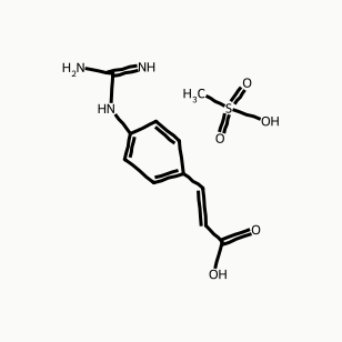 CS(=O)(=O)O.N=C(N)Nc1ccc(/C=C/C(=O)O)cc1